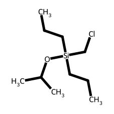 CCC[Si](CCl)(CCC)OC(C)C